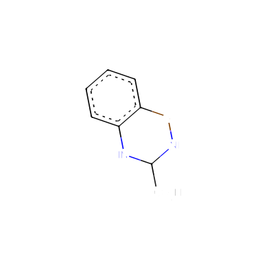 O=C(O)C1NSc2ccccc2N1